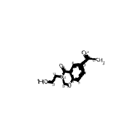 CC(=O)c1ccc2c(c1)C(=O)N(CCO)CO2